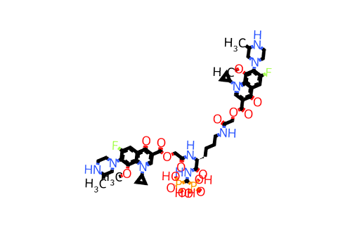 COc1c(N2CCNC(C)C2)c(F)cc2c(=O)c(C(=O)OCC(=O)NCCCC[C@@H](NC(=O)COC(=O)c3cn(C4CC4)c4c(OC)c(N5CCNC(C)C5)c(F)cc4c3=O)C(=O)NC(P(=O)(O)O)P(=O)(O)O)cn(C3CC3)c12